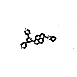 c1ccc2oc(-c3ccc4ccc5c(-c6cc(-c7ccncc7)cc(-c7ccncc7)c6)ccc6ccc3c4c65)nc2c1